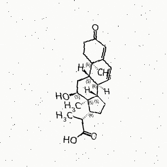 CC(C(=O)O)[C@H]1CC[C@H]2[C@@H]3C=CC4=CC(=O)CC[C@]4(C)[C@H]3C[C@H](O)[C@]12C